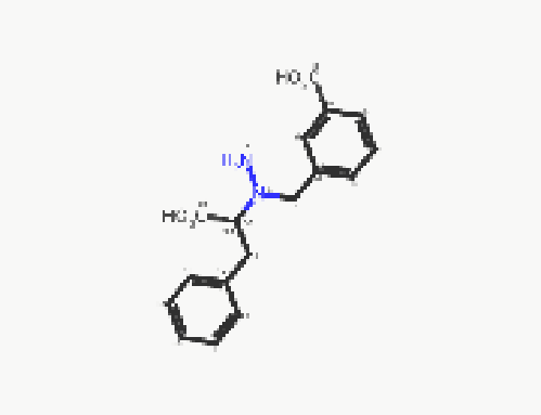 NN(Cc1cccc(C(=O)O)c1)[C@@H](Cc1ccccc1)C(=O)O